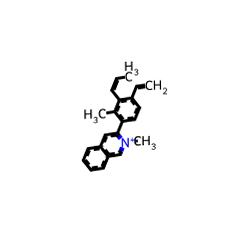 C=Cc1ccc(-c2cc3ccccc3c[n+]2C)c(C)c1/C=C\C